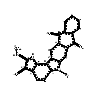 CCn1c2cc3c(=O)c4ccccc4c(=O)c3cc2c2c3o/c(=N\OC(C)=O)c(=O)c3ccc21